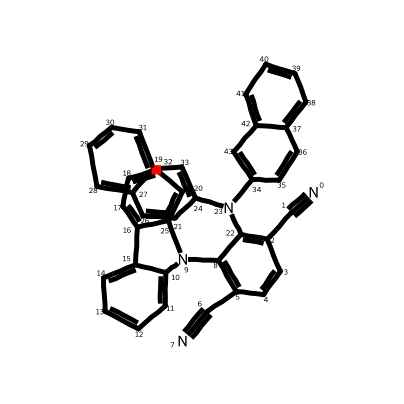 N#Cc1ccc(C#N)c(-n2c3ccccc3c3ccccc32)c1N(c1ccc2ccccc2c1)c1ccc2ccccc2c1